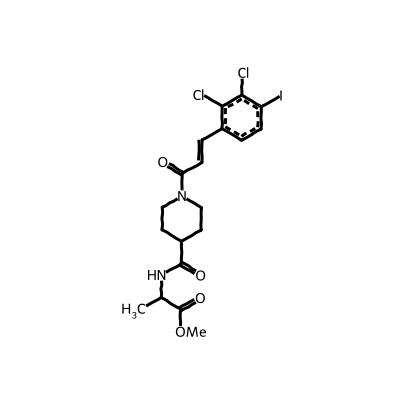 COC(=O)C(C)NC(=O)C1CCN(C(=O)C=Cc2ccc(I)c(Cl)c2Cl)CC1